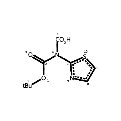 CC(C)(C)OC(=O)N(C(=O)O)c1nccs1